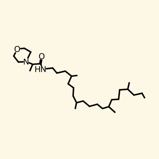 CCCC(C)CCCC(C)CCCCC(C)CCCC(C)CCCNC(=O)C(C)N1CCOCC1